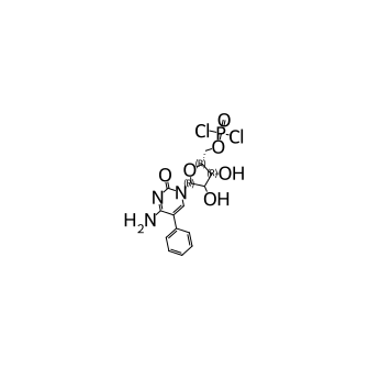 Nc1nc(=O)n([C@@H]2O[C@H](COP(=O)(Cl)Cl)[C@H](O)C2O)cc1-c1ccccc1